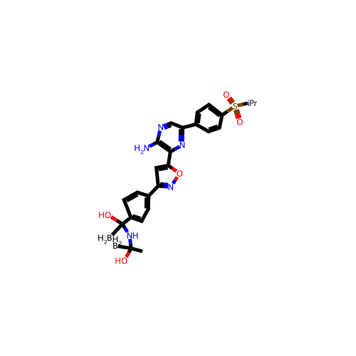 BC(C)(O)NC(B)(O)c1ccc(-c2cc(-c3nc(-c4ccc(S(=O)(=O)C(C)C)cc4)cnc3N)on2)cc1